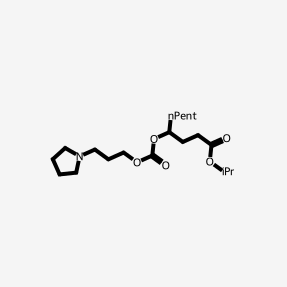 [CH2]C([CH2])OC(=O)CCC(CCCCC)OC(=O)OCCCN1CCCC1